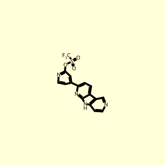 O=S(=O)(Oc1cc(-c2ccc3c(n2)[nH]c2ccncc23)ccn1)C(F)(F)F